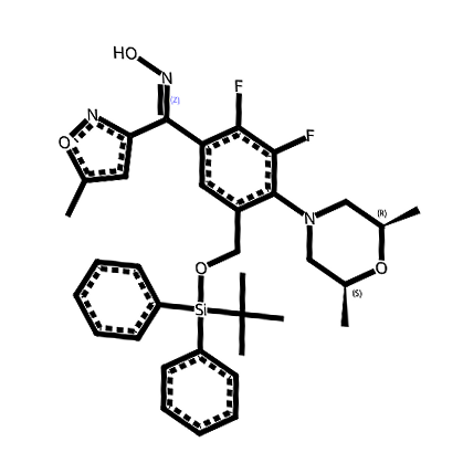 Cc1cc(/C(=N\O)c2cc(CO[Si](c3ccccc3)(c3ccccc3)C(C)(C)C)c(N3C[C@@H](C)O[C@@H](C)C3)c(F)c2F)no1